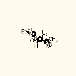 CCC(CC)CN1CCC[C@@H](n2c(=O)[nH]c3cc(-c4cc(C)c5ncnn5c4)c(C)cc32)C1